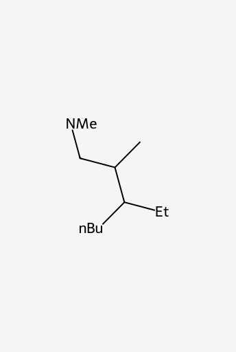 CCCCC(CC)C(C)CNC